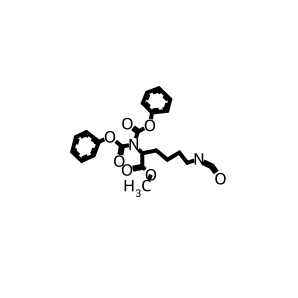 COC(=O)C(CCCCN=C=O)N(C(=O)Oc1ccccc1)C(=O)Oc1ccccc1